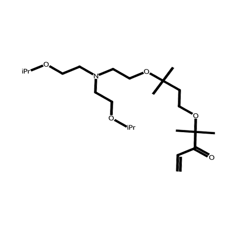 C=CC(=O)C(C)(C)OCCC(C)(C)OCCN(CCOC(C)C)CCOC(C)C